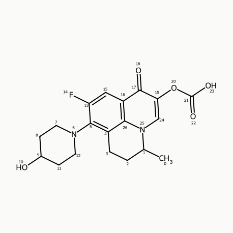 CC1CCc2c(N3CCC(O)CC3)c(F)cc3c(=O)c(OC(=O)O)cn1c23